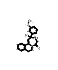 COc1cccc(C2(Br)C=C3c4ccccc4CCN3C(=O)CN2)c1